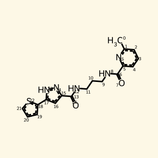 Cc1cccc(C(=O)NCCCNC(=O)c2cc(-c3cccs3)[nH]n2)n1